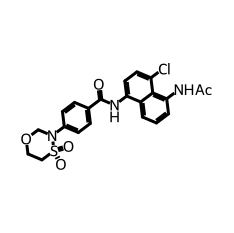 CC(=O)Nc1cccc2c(NC(=O)c3ccc(N4COCCS4(=O)=O)cc3)ccc(Cl)c12